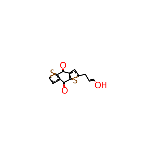 O=C1c2cc(CC=CO)sc2C(=O)c2ccsc21